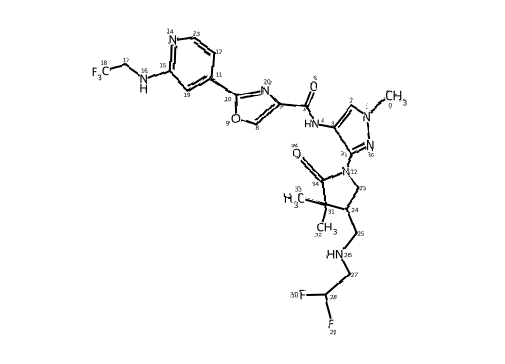 Cn1cc(NC(=O)c2coc(-c3ccnc(NCC(F)(F)F)c3)n2)c(N2CC(CNCC(F)F)C(C)(C)C2=O)n1